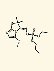 CCCSP(=S)(OCC)ON=C1n2c(OC)cnc2SC1(C)C